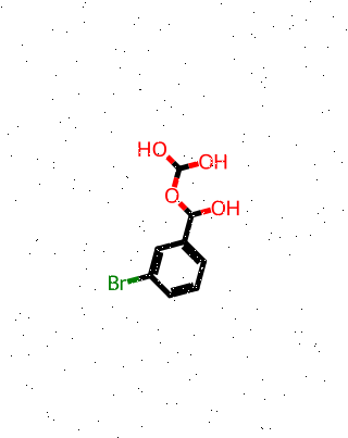 OC(O)OC(O)c1cccc(Br)c1